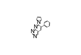 C1=CCN(c2nc3ncncc3cc2-c2ccccc2)C1